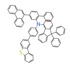 c1ccc(-c2ccc(-c3cc4ccccc4c4ccccc34)cc2N(c2ccc(-c3ccc4sc5ccccc5c4c3)cc2)c2cccc3c2-c2ccccc2C3(c2ccccc2)c2ccccc2)cc1